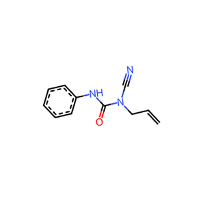 C=CCN(C#N)C(=O)Nc1ccccc1